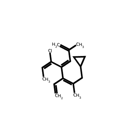 C=CC(=C(C)CC1CC1)C(=C/C(=C)C)/C(Cl)=C\C